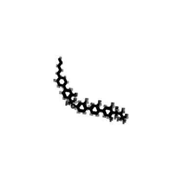 CCCCCC1CCC(c2ccc(C(F)(F)Oc3ccc(-c4ccc(-c5cc(F)c(C(F)(F)C(F)C(F)(F)F)c(F)c5)c(F)c4)c(F)c3)c(F)c2)CC1